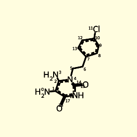 Nc1c(N)n(CCc2ccc(Cl)cc2)c(=O)[nH]c1=O